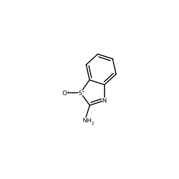 Nc1nc2ccccc2[s+]1[O-]